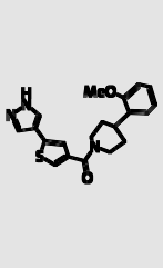 COc1ccccc1C1CCN(C(=O)c2csc(-c3cn[nH]c3)c2)CC1